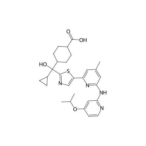 Cc1cc(Nc2cc(OC(C)C)ccn2)nc(-c2cnc(C(O)(C3CCC(C(=O)O)CC3)C3CC3)s2)c1